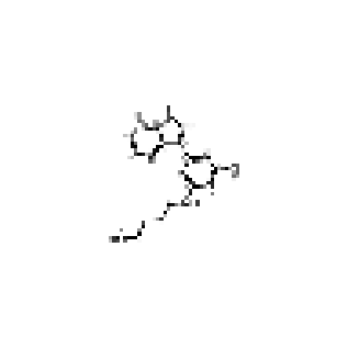 OCCCCNc1cc(-c2c[nH]c3ncccc23)cc(Cl)n1